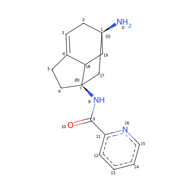 N[C@]12CC=C3CC[C@@](NC(=O)c4ccccn4)(C1)C3C2